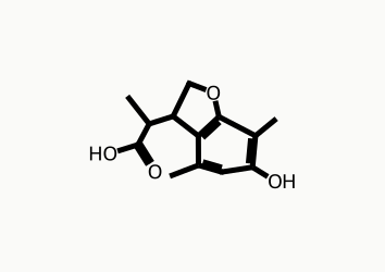 Cc1cc(O)c(C)c2c1C(C(C)C(=O)O)CO2